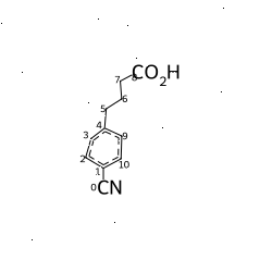 N#Cc1ccc(CCCC(=O)O)cc1